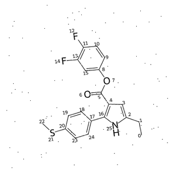 CCc1cc(C(=O)Oc2ccc(F)c(F)c2)c(-c2ccc(SC)cc2)[nH]1